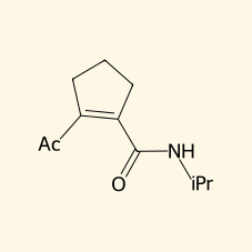 CC(=O)C1=C(C(=O)NC(C)C)CCC1